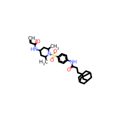 C=CC(=O)NC1CC(C)N(S(=O)(=O)c2ccc(NC(=O)CCC34CC5CC(CC(C5)C3)C4)cc2)C(C)C1